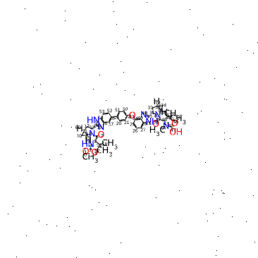 COC(=O)N[C@H](C(=O)N1[C@@H]2C[C@H]2C[C@H]1c1nc2cc(-c3ccc(Oc4cccc5[nH]c([C@@H]6C[C@H]7C[C@H]7N6C(=O)[C@H](C(C)C)N(C)C(=O)O)nc45)cc3)ccc2[nH]1)C(C)C